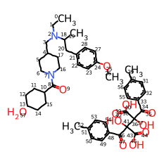 CCN(CC1CCN(C(=O)C2CCCCC2)CC1)C(C)Cc1ccc(OC)cc1.Cc1ccc(C(=O)C(O)(C(=O)O)C(O)(C(=O)O)C(=O)c2ccc(C)cc2)cc1.O